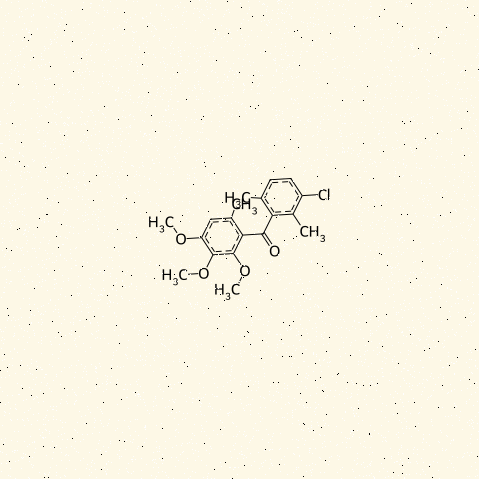 COc1cc(C)c(C(=O)c2c(C)ccc(Cl)c2C)c(OC)c1OC